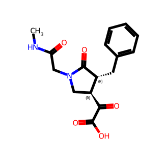 CNC(=O)CN1C[C@H](C(=O)C(=O)O)[C@@H](Cc2ccccc2)C1=O